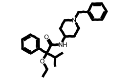 CCOC(C(=O)NC1CCN(Cc2ccccc2)CC1)(c1ccccc1)C(C)C